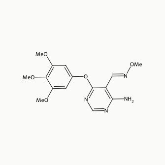 CON=Cc1c(N)ncnc1Oc1cc(OC)c(OC)c(OC)c1